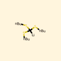 [Li][C](SCCCC)(SCCCC)SCCCC